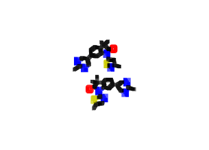 Cc1cc(N2C(=O)C(C)(C)c3ccc(-c4cnc(C)nc4)cc32)sn1.Cc1ncc(-c2ccc3c(c2)N(c2ncc(C)s2)C(=O)C3(C)C)cn1